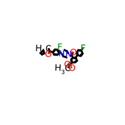 CC(OC1CCC1)c1ccc(N2CCN(C(=O)c3cc(S(C)(=O)=O)ccc3-c3ccc(F)cc3)CC2)c(F)c1